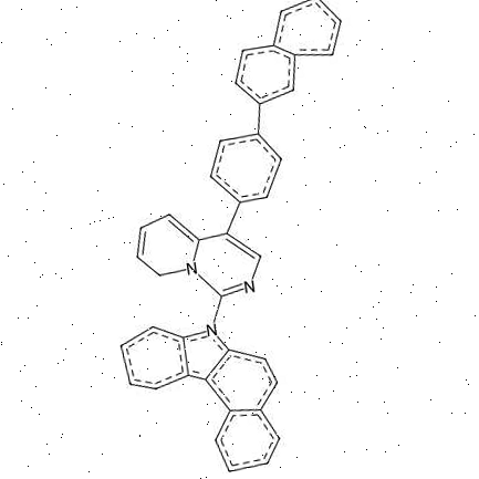 C1=CCN2C(=C1)C(c1ccc(-c3ccc4ccccc4c3)cc1)=CN=C2n1c2ccccc2c2c3ccccc3ccc21